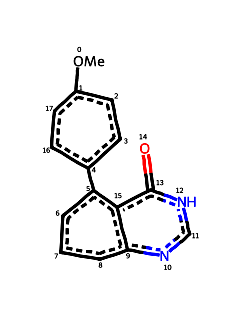 COc1ccc(-c2cccc3nc[nH]c(=O)c23)cc1